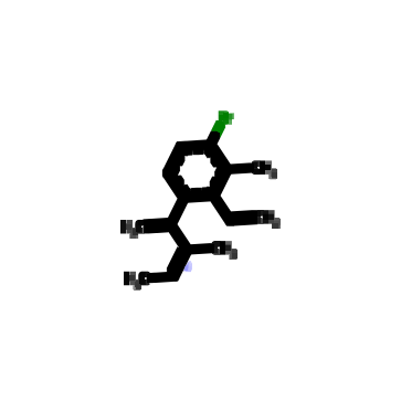 C=Cc1c(C(=C)/C(C)=C\C)ccc(Br)c1C